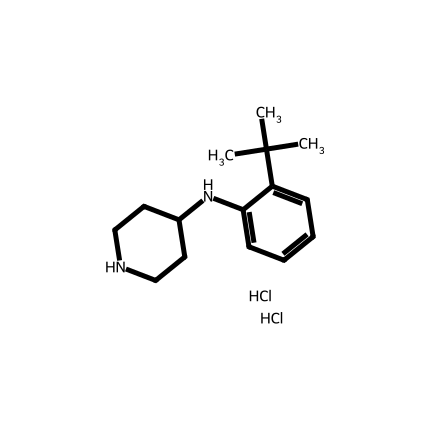 CC(C)(C)c1ccccc1NC1CCNCC1.Cl.Cl